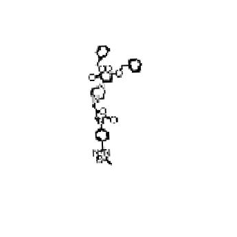 Cc1nc(-c2ccc(N3CC(CN4CCN(C(CC(=O)OCc5ccccc5)C(=O)OCc5ccccc5)CC4)OC3=O)cc2)no1